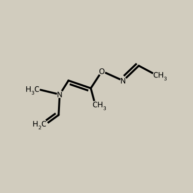 C=CN(C)/C=C(\C)O/N=C/C